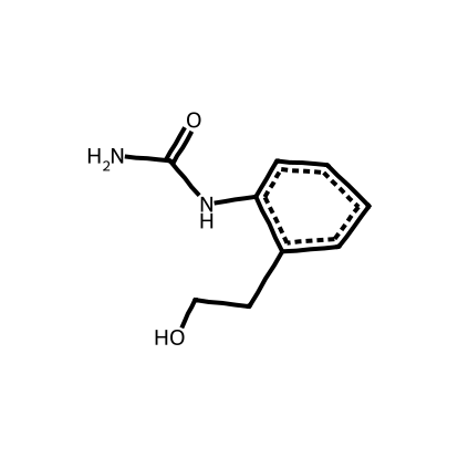 NC(=O)Nc1ccccc1CCO